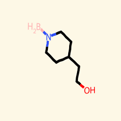 BN1CCC(CCO)CC1